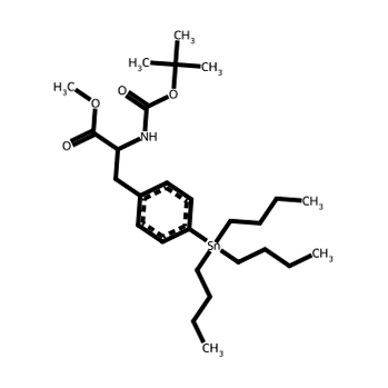 CCC[CH2][Sn]([CH2]CCC)([CH2]CCC)[c]1ccc(CC(NC(=O)OC(C)(C)C)C(=O)OC)cc1